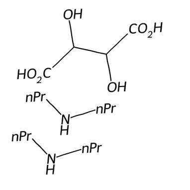 CCCNCCC.CCCNCCC.O=C(O)C(O)C(O)C(=O)O